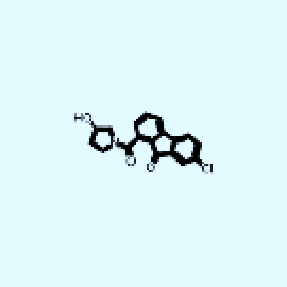 O=C1c2cc(Cl)ccc2-c2cccc(C(=O)N3CC[C@@H](O)C3)c21